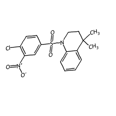 CC1(C)CCN(S(=O)(=O)c2ccc(Cl)c([N+](=O)[O-])c2)c2ccccc21